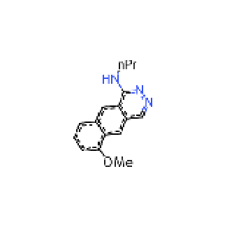 CCCNc1nncc2cc3c(OC)cccc3cc12